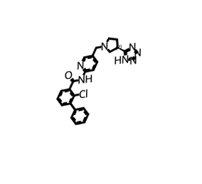 O=C(Nc1ccc(CN2CC[C@@H](c3nnn[nH]3)C2)cn1)c1cccc(-c2ccccc2)c1Cl